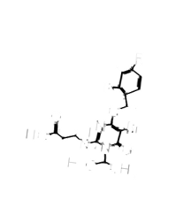 CC(C)n1c(NCCC(=O)O)nc(OCc2ccc(F)cc2F)c(Br)c1=O